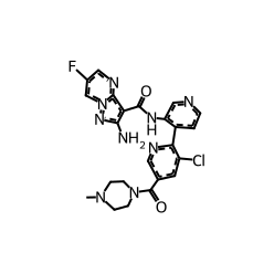 CN1CCN(C(=O)c2cnc(-c3ccncc3NC(=O)c3c(N)nn4cc(F)cnc34)c(Cl)c2)CC1